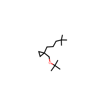 CC(C)(C)CCCC1(COC(C)(C)C)CC1